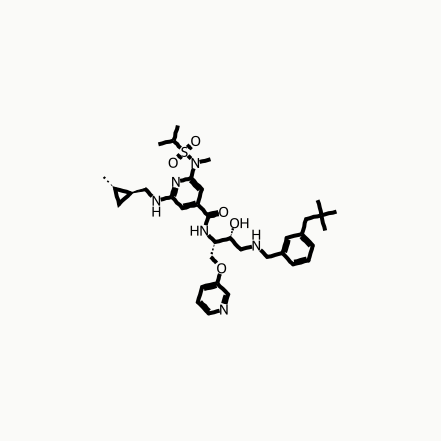 CC(C)S(=O)(=O)N(C)c1cc(C(=O)N[C@@H](COc2cccnc2)[C@H](O)CNCc2cccc(CC(C)(C)C)c2)cc(NC[C@H]2C[C@@H]2C)n1